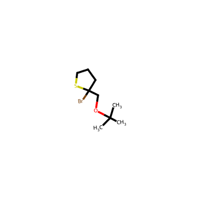 CC(C)(C)OCC1(Br)CCCS1